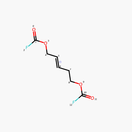 O=C(F)OC/C=C/CCOC(=O)F